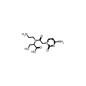 NCCN(C(=O)Cn1ccc(N)nc1=O)C(CO)C(=O)O